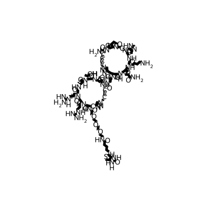 CC(O)[C@@H]1NC(=O)[C@H](C)NC(=O)[C@H](CCCNC(=N)N)NC(=O)[C@H](CCCNC(=N)N)NC(=O)[C@@H](NC(=O)COCCOCCOCCNC(=O)CCCC[C@H]2SC[C@H]3NC(=O)N[C@H]32)Cc2cn(nn2)CCCC[C@@H](C(=O)NCC(=O)N[C@H]2Cc3cn(nn3)CCCC[C@@H](C(N)=O)NC(=O)[C@@H]3CCCN3C(=O)CNC(=O)[C@H](Cc3c[nH]cn3)NC(=O)[C@H](CCCCN)NC(=O)[C@H](CCC(N)=O)NC2=O)NC(=O)[C@H](CO)NC1=O